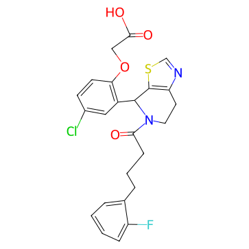 O=C(O)COc1ccc(Cl)cc1C1c2scnc2CCN1C(=O)CCCc1ccccc1F